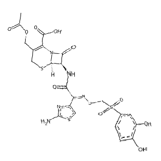 CC(=O)OCC1=C(C(=O)O)N2C(=O)[C@@H](NC(=O)C(=NOCS(=O)(=O)c3ccc(O)c(O)c3)c3csc(N)n3)[C@H]2SC1